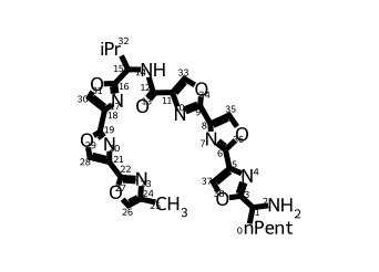 CCCCCC(N)c1nc(-c2nc(-c3nc(C(=O)NC(c4nc(-c5nc(-c6nc(C)co6)co5)co4)C(C)C)co3)co2)co1